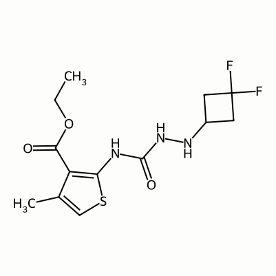 CCOC(=O)c1c(C)csc1NC(=O)NNC1CC(F)(F)C1